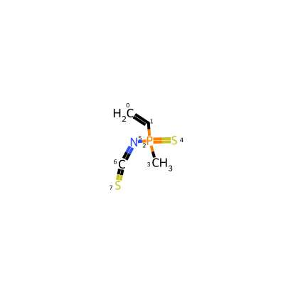 C=CP(C)(=S)N=C=S